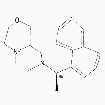 C[C@H](c1cccc2ccccc12)N(C)CC1COCC[N+]1C